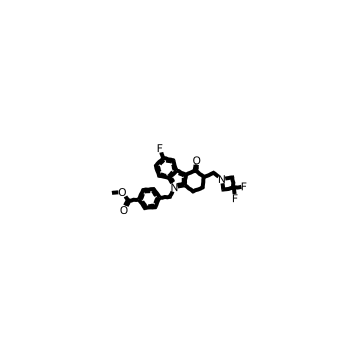 COC(=O)c1ccc(Cn2c3c(c4cc(F)ccc42)C(=O)C(CN2CC(F)(F)C2)CC3)cc1